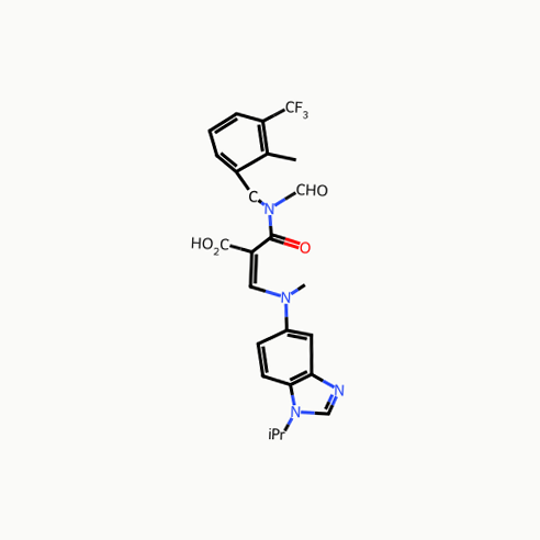 Cc1c(CN(C=O)C(=O)/C(=C\N(C)c2ccc3c(c2)ncn3C(C)C)C(=O)O)cccc1C(F)(F)F